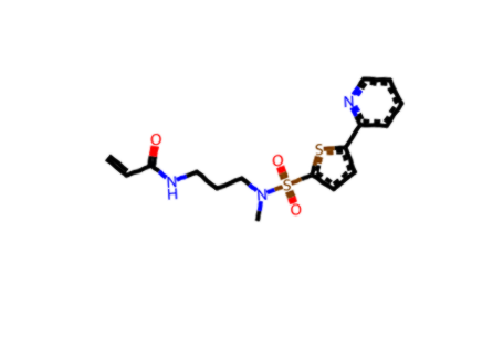 C=CC(=O)NCCCN(C)S(=O)(=O)c1ccc(-c2ccccn2)s1